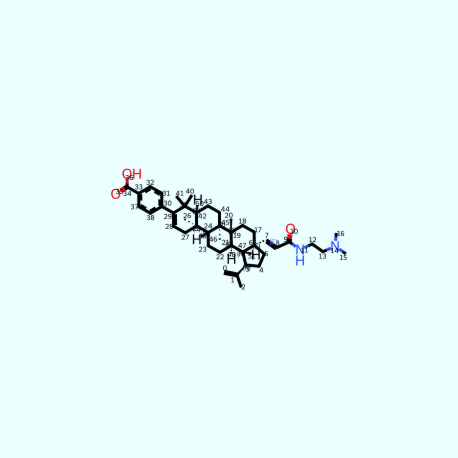 C=C(C)[C@@H]1CC[C@]2(/C=C/C(=O)NCCN(C)C)CC[C@]3(C)[C@H](CC[C@@H]4[C@@]5(C)CC=C(c6ccc(C(=O)O)cc6)C(C)(C)[C@@H]5CC[C@]43C)[C@@H]12